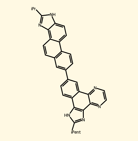 CCCC(C)c1nc2c3nccnc3c3cc(-c4ccc5c(ccc6c5ccc5[nH]c(C(C)C)nc56)c4)ccc3c2[nH]1